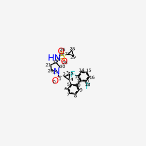 O=C([C@@H]1C[C@H]1c1ccccc1-c1c(F)cccc1F)N1CC[C@H](NS(=O)(=O)C2CC2)C1